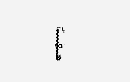 CCCCCCCCCCCCCCCC[n+]1ccccc1.Cl.[Cl-]